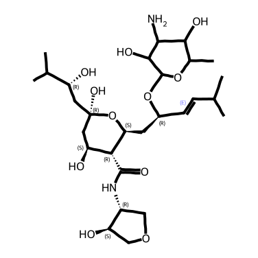 CC(C)/C=C/[C@@H](C[C@@H]1O[C@](O)(C[C@@H](O)C(C)C)C[C@H](O)[C@H]1C(=O)N[C@@H]1COC[C@H]1O)OC1OC(C)C(O)C(N)C1O